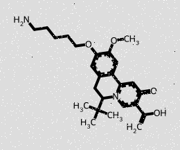 C=C(O)c1cn2c(cc1=O)-c1cc(OC)c(OCCCCCN)cc1CC2C(C)(C)C